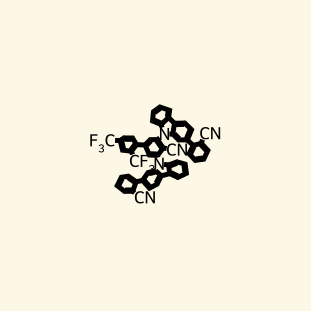 N#Cc1ccccc1-c1ccc2c3ccccc3n(-c3cc(-c4ccc(C(F)(F)F)cc4C(F)(F)F)cc(-n4c5ccccc5c5ccc(-c6ccccc6C#N)cc54)c3C#N)c2c1